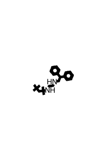 CC(C)(C)CC(C)(C)NCCNCC(c1ccccc1)c1ccccc1